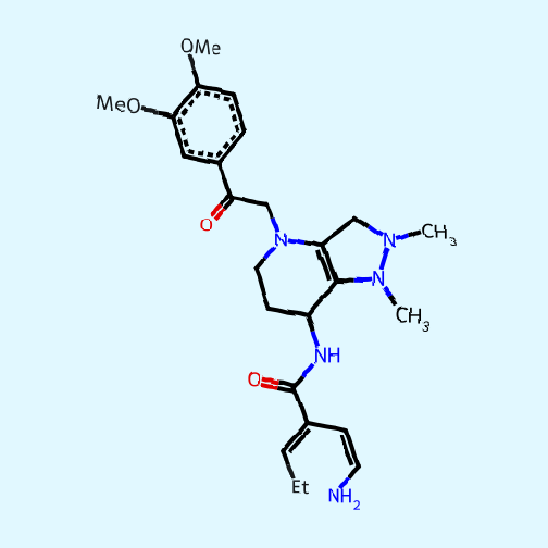 CC/C=C(\C=C/N)C(=O)NC1CCN(CC(=O)c2ccc(OC)c(OC)c2)C2=C1N(C)N(C)C2